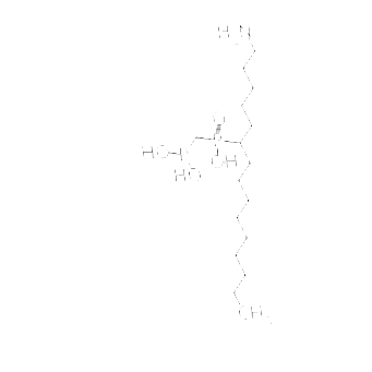 CCCCCCCCCC(CCCCCN)P(=O)(O)CP(O)O